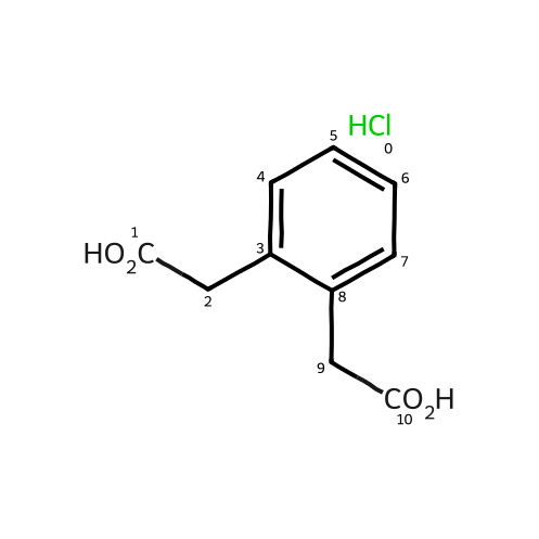 Cl.O=C(O)Cc1ccccc1CC(=O)O